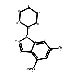 COc1cc(Br)cc2c1cnn2C1CCCCO1